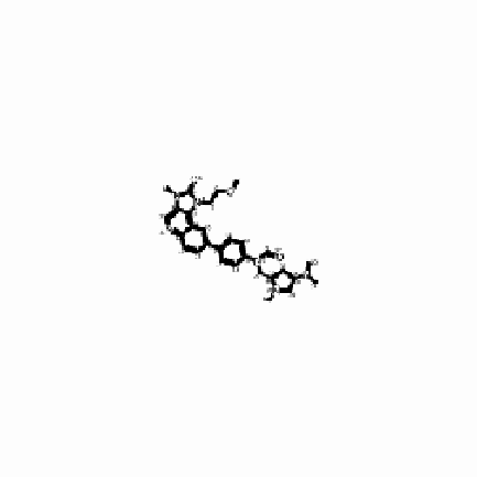 COCCn1c(=O)n(C)c2cnc3ccc(-c4ccc(N(C=O)C[C@H]5C[C@@H](N(C)C)CN5C)cc4)cc3c21